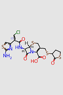 Nc1nc(/C(=C/Cl)C(=O)N[C@@H]2C(=O)N3C(C(=O)O)=C(CSC4CCSC4=O)CS[C@@H]23)cs1